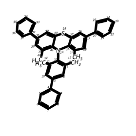 Cc1cc(-c2ccccc2)cc(C)c1N1c2c(C)cc(-c3ccccc3)cc2Sc2cc(-c3ccccc3)cc(C)c21